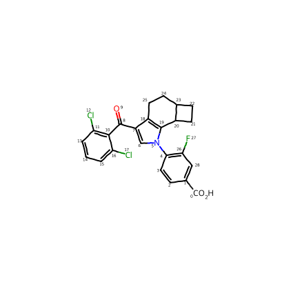 O=C(O)c1ccc(-n2cc(C(=O)c3c(Cl)cccc3Cl)c3c2C2CCC2CC3)c(F)c1